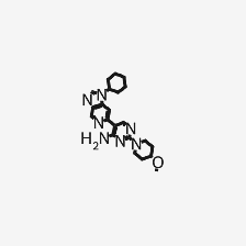 COC1CCN(c2ncc(-c3cc4c(cn3)ncn4C3CCCCC3)c(N)n2)CC1